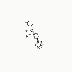 CC(C)C[C@@H](C)COc1ccc(B2OC(C)(C)C(C)(C)O2)cc1C(F)F